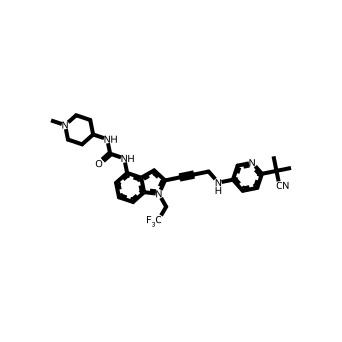 CN1CCC(NC(=O)Nc2cccc3c2cc(C#CCNc2ccc(C(C)(C)C#N)nc2)n3CC(F)(F)F)CC1